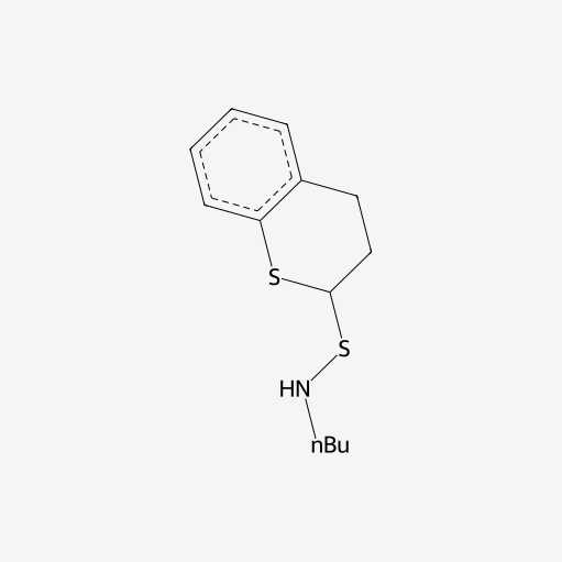 CCCCNSC1CCc2ccccc2S1